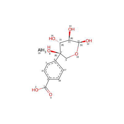 O=C(O)c1ccc([C@@]2(O)CO[C@H](O)[C@H](O)[C@H]2O)cc1.[AlH3]